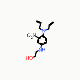 C=CCN(CC=C)c1ccc(NCCO)cc1[N+](=O)[O-]